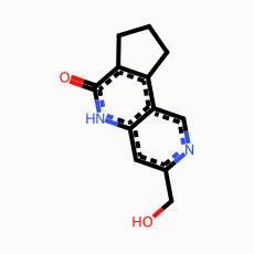 O=c1[nH]c2cc(CO)ncc2c2c1CCC2